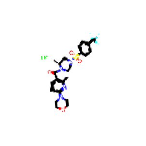 Cc1nc(N2CCOCC2)ccc1C(=O)N1CCN(S(=O)(=O)c2ccc(C(F)(F)F)cc2)C[C@@H]1C.Cl